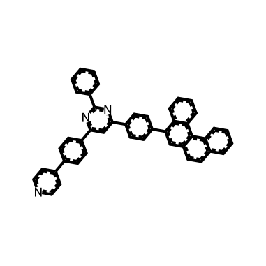 c1ccc(-c2nc(-c3ccc(-c4ccncc4)cc3)cc(-c3ccc(-c4cc5ccc6ccccc6c5c5ccccc45)cc3)n2)cc1